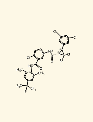 Cc1cc(C(F)(C(F)(F)F)C(F)(F)F)cc(C)c1NC(=O)c1cc(NC(=O)[C@@H]2[C@@H](c3cc(Cl)cc(Cl)c3)C2(Cl)Cl)ccc1Cl